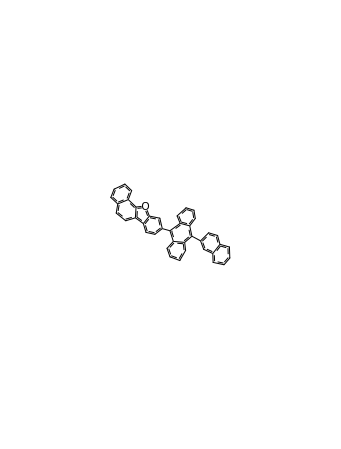 c1ccc2cc(-c3c4ccccc4c(-c4ccc5c(c4)oc4c6ccccc6ccc54)c4ccccc34)ccc2c1